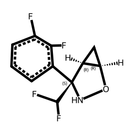 Fc1cccc([C@@]2(C(F)F)NO[C@@H]3C[C@@H]32)c1F